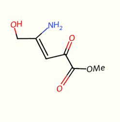 COC(=O)C(=O)/C=C(\N)CO